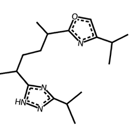 CC(C)c1coc(C(C)CCC(C)c2nc(C(C)C)n[nH]2)n1